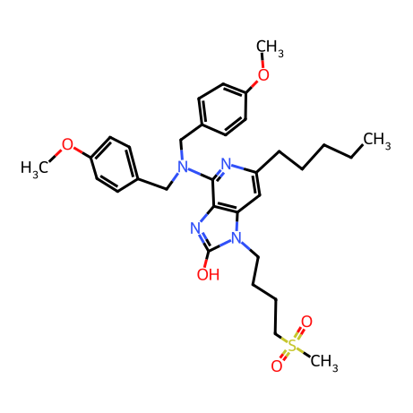 CCCCCc1cc2c(nc(O)n2CCCCS(C)(=O)=O)c(N(Cc2ccc(OC)cc2)Cc2ccc(OC)cc2)n1